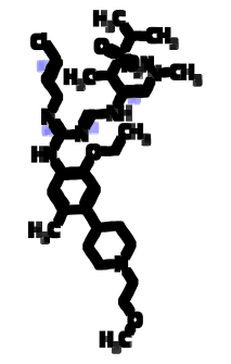 CCOc1cc(C2CCN(CCOC)CC2)c(C)cc1NC(=N/C/C=C/Cl)/N=C/N/C(=C/N(C)N)C(C)S(=O)(=O)C(C)C